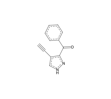 C#Cc1c[nH]nc1C(=O)c1ccccc1